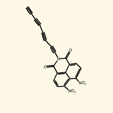 C#CC#CC#CC#CN1C(=O)c2ccc([N+](=O)[O-])c3c([N+](=O)[O-])ccc(c23)C1=O